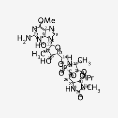 COc1nc(N)nc2c1ncn2C1OC(COP(=O)(N[C@H](C)C(=O)OC(C)C)SCC2NC(=O)N(C)C2=O)[C@@H](O)[C@@]1(C)O